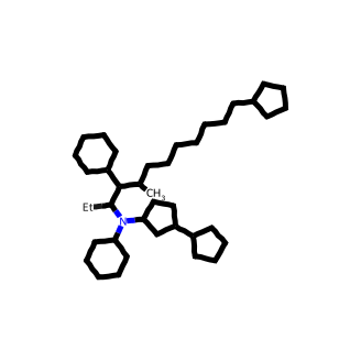 CCC(C(C(C)CCCCCCCC1CCCC1)C1CCCCC1)N(C1CCCCC1)C1CCC(C2CCCC2)C1